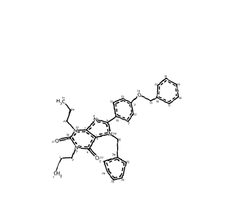 CCCn1c(=O)c2c(nc(-c3ccc(OCc4ccccc4)cc3)n2Cc2ccccc2)n(CCC)c1=O